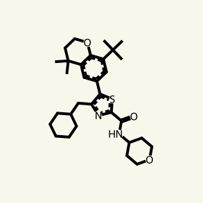 CC(C)(C)c1cc(-c2sc(C(=O)NC3CCOCC3)nc2CC2CCCCC2)cc2c1OCCC2(C)C